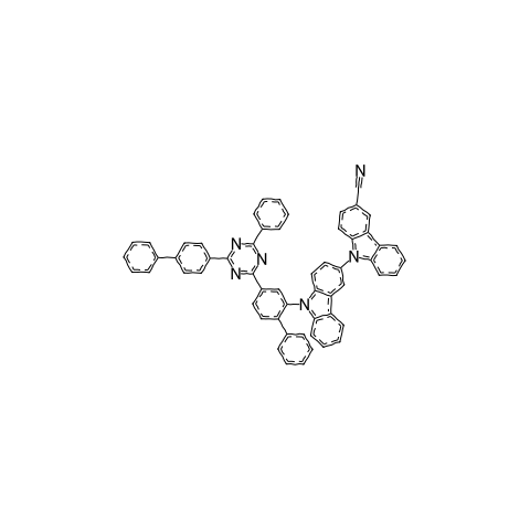 N#Cc1ccc2c(c1)c1ccccc1n2-c1ccc2c(c1)c1ccccc1n2-c1cc(-c2nc(-c3ccccc3)nc(-c3ccc(-c4ccccc4)cc3)n2)ccc1-c1ccccc1